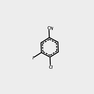 N#Cc1ccc(Cl)c(I)c1